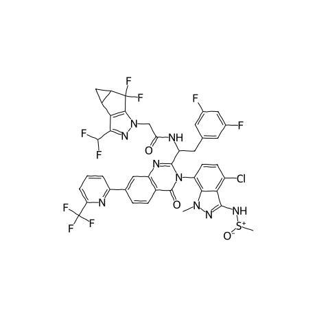 Cn1nc(N[S+](C)[O-])c2c(Cl)ccc(-n3c(C(Cc4cc(F)cc(F)c4)NC(=O)Cn4nc(C(F)F)c5c4C(F)(F)C4CC54)nc4cc(-c5cccc(C(F)(F)F)n5)ccc4c3=O)c21